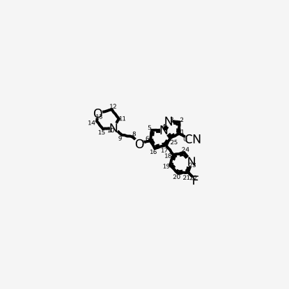 N#Cc1cnn2cc(OCCN3CCOCC3)cc(-c3ccc(F)nc3)c12